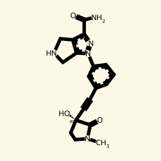 CN1CC[C@@](O)(C#Cc2cccc(-n3nc(C(N)=O)c4c3CNC4)c2)C1=O